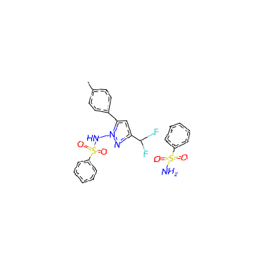 Cc1ccc(-c2cc(C(F)F)nn2NS(=O)(=O)c2ccccc2)cc1.NS(=O)(=O)c1ccccc1